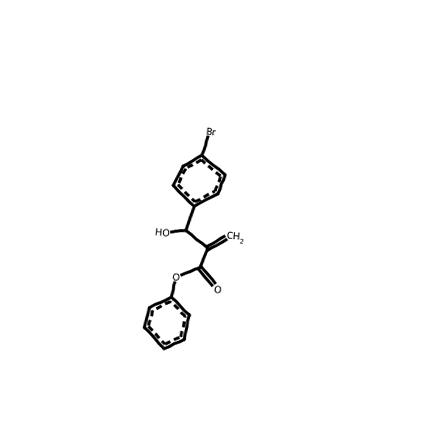 C=C(C(=O)Oc1ccccc1)C(O)c1ccc(Br)cc1